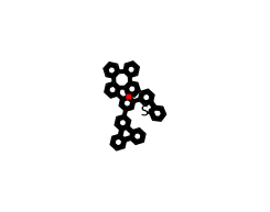 c1ccc2c(c1)-c1ccccc1-c1cccc(-c3cc(-c4ccc5c6ccccc6c6ccccc6c5c4)cc(-c4cccc5c4sc4ccccc45)c3)c1-c1ccccc1-2